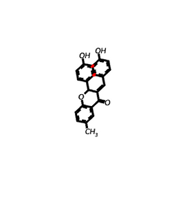 Cc1ccc2c(c1)C(=O)/C(=C/c1ccc(O)cc1)C(c1ccc(O)cc1)O2